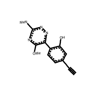 C#Cc1ccc(-c2nnc(NC)nc2OC)c(O)c1